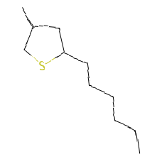 CCCCCCC1CC(C)CS1